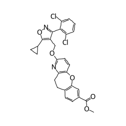 COC(=O)c1ccc2c(c1)Oc1ccc(OCc3c(-c4c(Cl)cccc4Cl)noc3C3CC3)nc1CC2